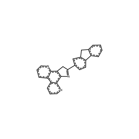 c1ccc2c(c1)Cc1cc(C3=Nc4c(c5ncccc5c5cccnc45)C3)ccc1-2